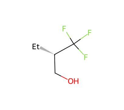 CC[C@@H](CO)C(F)(F)F